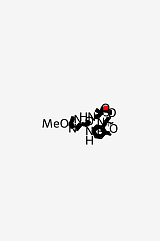 COc1cnc(C(=O)Nc2ccc3c(c2)[C@]2(COC3)CS(=O)(=O)C(C)(C)C(=N)N2)cn1